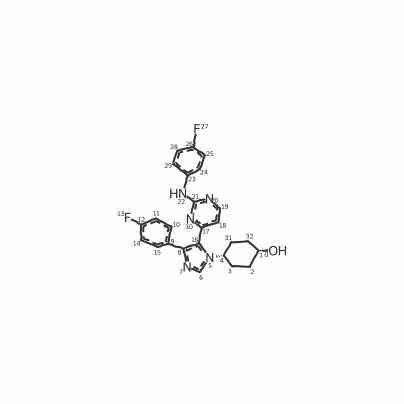 O[C@H]1CC[C@H](n2cnc(-c3ccc(F)cc3)c2-c2ccnc(Nc3ccc(F)cc3)n2)CC1